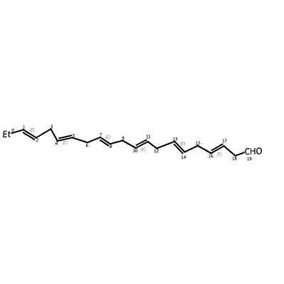 CC/C=C/C/C=C/C/C=C/C/C=C/C/C=C/C/C=C/CC=O